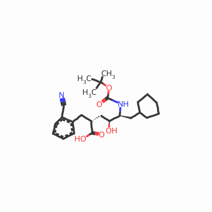 CC(C)(C)OC(=O)N[C@@H](CC1CCCCC1)[C@@H](O)C[C@@H](Cc1ccccc1C#N)C(=O)O